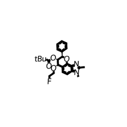 Cc1nc2c3c(ccc2n1C)[C@@H](OCCF)[C@H](OC(=O)C(C)(C)C)[C@@H](c1ccccc1)O3